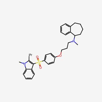 CC(C)c1c(S(=O)(=O)c2ccc(OCCCN(C)C3CCCCc4ccccc43)cc2)c2ccccc2n1C